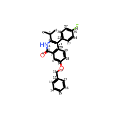 CC(C)c1[nH]c(=O)c2cc(OCc3ccccc3)ccc2c1-c1ccc(F)cc1